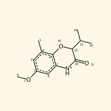 COc1cc(C)c2c(c1)NC(=O)C(C(C)C)O2